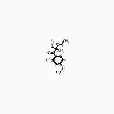 CCOC(C)(CC)C(=O)c1ccc(OC)cc1C